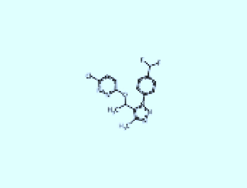 Cc1nnn(-c2ccc(C(F)F)cc2)c1C(C)Oc1ccc(Cl)nn1